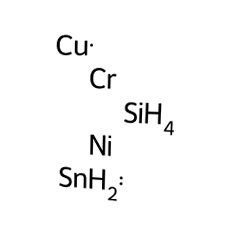 [Cr].[Cu].[Ni].[SiH4].[SnH2]